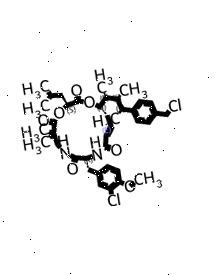 COc1ccc(C[C@H]2NC(=O)/C=C/C[C@@H]([C@H](C)[C@@H](C)[C@H](C)c3ccc(CCl)cc3)OC(=O)[C@H](CC(C)C)OC(=O)C(C)(C)CNC2=O)cc1Cl